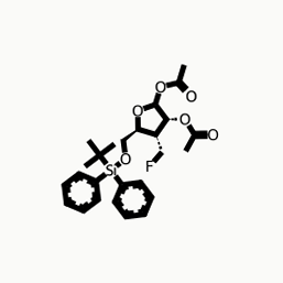 CC(=O)OC1O[C@H](CO[Si](c2ccccc2)(c2ccccc2)C(C)(C)C)[C@@H](CF)[C@H]1OC(C)=O